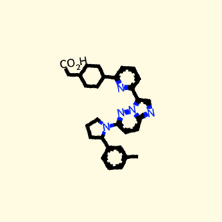 Cc1cccc(C2CCCN2c2ccc3ncc(-c4cccc(C5CCC(CC(=O)O)CC5)n4)n3n2)c1